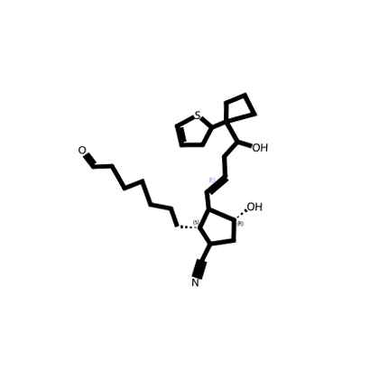 N#CC1C[C@@H](O)C(/C=C/CC(O)C2(C3CC=CS3)CCC2)[C@H]1CCCCCCC=O